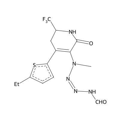 CCc1ccc(C2=C(N(C)/N=N\NC=O)C(=O)NC(C(F)(F)F)C2)s1